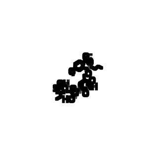 CCCC[C@H](OCc1cn([C@H]2C[C@@H](O)C(COP(O)(=S)C(C)(C)CC)O2)c(=O)[nH]c1=O)c1cc(OC)ccc1[N+](=O)[O-]